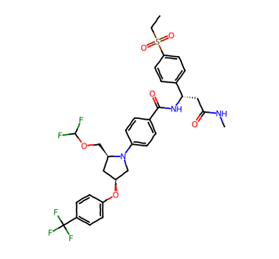 CCS(=O)(=O)c1ccc([C@H](CC(=O)NC)NC(=O)c2ccc(N3C[C@@H](Oc4ccc(C(F)(F)F)cc4)C[C@H]3COC(F)F)cc2)cc1